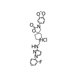 Cl.O=C1OC2(CCC(CNc3ccn(-c4ccccc4F)n3)CC2)CN1c1ccc2c(c1)OCO2